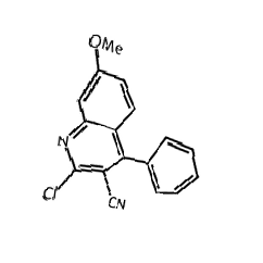 COc1ccc2c(-c3ccccc3)c(C#N)c(Cl)nc2c1